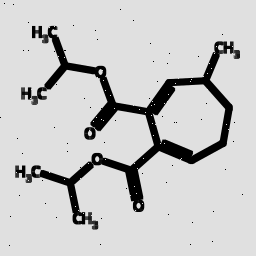 CC1C=C(C(=O)OC(C)C)C(C(=O)OC(C)C)=CCC1